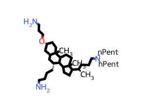 CCCCCN(CCCCC)CCC[C@@H](C)C1CCC2C3C(CCC21C)C1(C)CC[C@@H](OCCCN)CC1C[C@H]3CCCCN